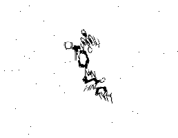 O=C(N[C@@H]1CCNC1)c1ccn(C2=CC3CN(C2)C(=O)N3OS(=O)(=O)O)n1